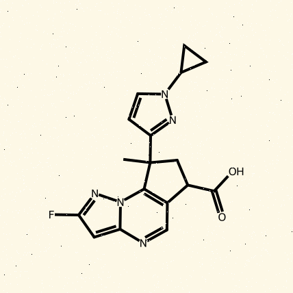 CC1(c2ccn(C3CC3)n2)CC(C(=O)O)c2cnc3cc(F)nn3c21